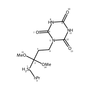 CCC[SiH2]C(CCn1c(=O)[nH]c(=O)[nH]c1=O)(OC)OC